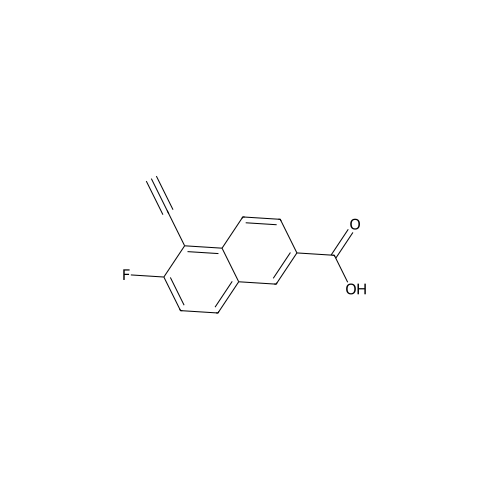 C#Cc1c(F)ccc2cc(C(=O)O)ccc12